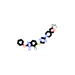 C[C@H]1CC2(CCN(c3cnc(Sc4ccc5nc(Oc6ccccc6)[nH]c5c4Cl)cn3)CC2)CO1